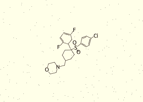 O=S(=O)(c1ccc(Cl)cc1)C1(C2CC(F)=CC=C2F)CCC(CN2CCOCC2)CC1